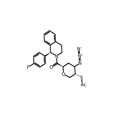 CC(=O)S[C@@H]1CO[C@@H](C(=O)N2CCc3ccccc3[C@@H]2c2ccc(F)cc2)CC1N=[N+]=[N-]